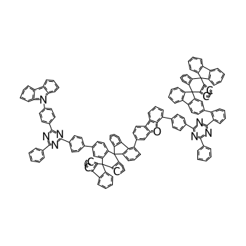 c1ccc(-c2nc(-c3ccc(-c4ccc5c(c4)C4(c6ccccc6-c6ccccc64)c4ccccc4C54c5ccccc5-c5c(-c6ccc7c(c6)oc6c(-c8ccc(-c9nc(-c%10ccccc%10)nc(-c%10ccccc%10-c%10ccc%11c(c%10)C%10(c%12ccccc%12-%11)c%11ccccc%11C%11(c%12ccccc%12-c%12ccccc%12%11)c%11ccccc%11%10)n9)cc8)cccc67)cccc54)cc3)nc(-c3ccc(-n4c5ccccc5c5ccccc54)cc3)n2)cc1